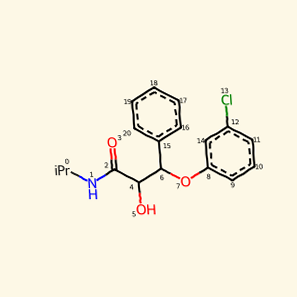 CC(C)NC(=O)C(O)C(Oc1cccc(Cl)c1)c1ccccc1